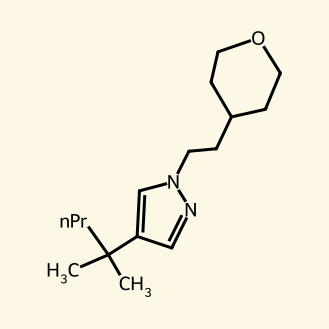 CCCC(C)(C)c1cnn(CCC2CCOCC2)c1